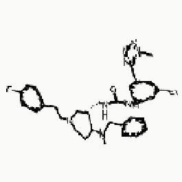 CCc1cc(NC(=O)NC[C@H]2CN(CCc3ccc(F)cc3)CC[C@@H]2N(C)Cc2ccccc2)cc(-c2nnnn2C)c1